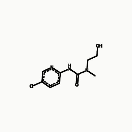 CN(CCO)C(=O)Nc1ccc(Cl)cn1